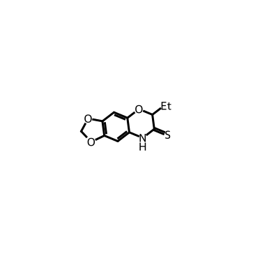 CCC1Oc2cc3c(cc2NC1=S)OCO3